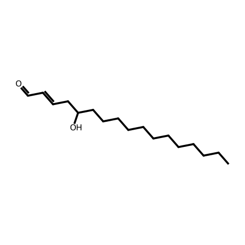 CCCCCCCCCCCCC(O)C/C=C/C=O